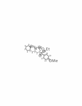 CCOC(=O)C(CC(Cc1ccccc1)N(C(C)C)C(C)C)S(=O)(=O)c1ccc(OC)cc1